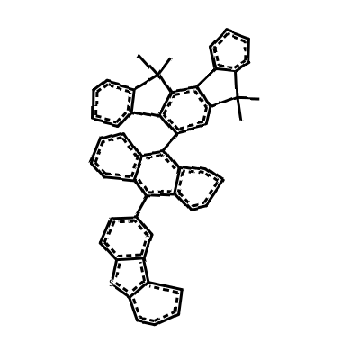 CC1(C)c2ccccc2-c2c1cc(-c1c3ccccc3c(-c3ccc4sc5ccccc5c4c3)c3ccccc13)c1c2C(C)(C)c2ccccc2-1